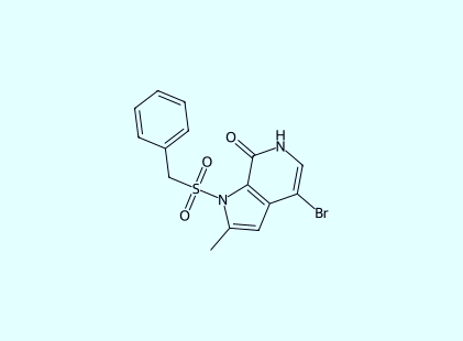 Cc1cc2c(Br)c[nH]c(=O)c2n1S(=O)(=O)Cc1ccccc1